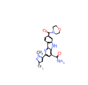 Cn1nc(C(F)(F)F)cc1-c1cc(C(N)=O)c2[nH]c3cc(C(=O)N4CCOCC4)ccc3c2n1